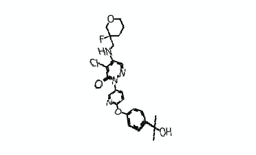 CC(C)(O)c1ccc(Oc2ccc(-n3ncc(NC[C@@]4(F)CCCOC4)c(Cl)c3=O)cn2)cc1